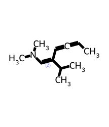 CC=C=C/C(=C\N(C)C)C(C)C